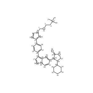 C[Si](C)(C)CCOCn1cnc(-c2ccc(-c3cnn4ccc(N5C(=O)OCC5C5CCCCC5)nc34)cc2)n1